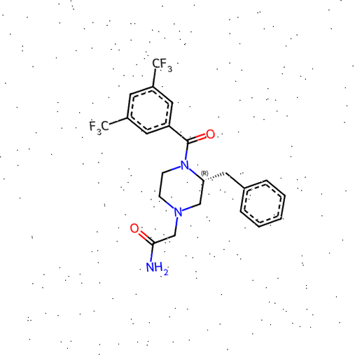 NC(=O)CN1CCN(C(=O)c2cc(C(F)(F)F)cc(C(F)(F)F)c2)[C@H](Cc2ccccc2)C1